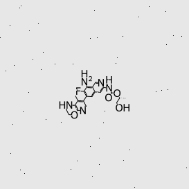 Cc1c(-c2cc3cc(NC(=O)O[C@H](C)CO)ncc3c(N)c2F)cnc2c1NCCO2